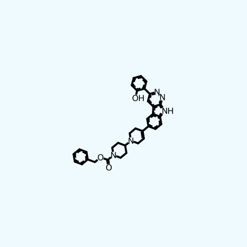 O=C(OCc1ccccc1)N1CCC(N2CC=C(c3ccc4[nH]c5nnc(-c6ccccc6O)cc5c4c3)CC2)CC1